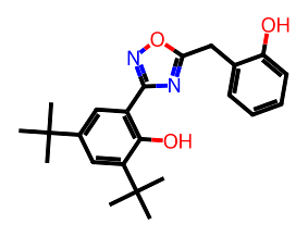 CC(C)(C)c1cc(-c2noc(Cc3ccccc3O)n2)c(O)c(C(C)(C)C)c1